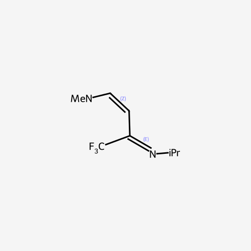 CN/C=C\C(=N/C(C)C)C(F)(F)F